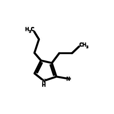 CCCc1c[nH]c([N])c1CCC